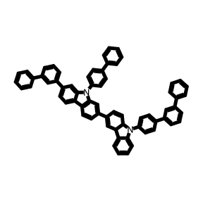 C1=CC2C(C=C1c1ccc3c4ccc(-c5cccc(-c6ccccc6)c5)cc4n(-c4ccc(-c5ccccc5)cc4)c3c1)c1ccccc1N2c1ccc(-c2cccc(-c3ccccc3)c2)cc1